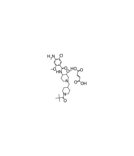 COc1cc(N)c(Cl)cc1C(=O)NC1CCN(CC2CCN(C(=O)C(C)(C)C)CC2)CC1OC.O=C(O)C=CC(=O)O